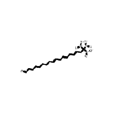 O=[C]CCCCCCCC=CCC=CCC=CCC([N+](=O)[O-])([N+](=O)[O-])[N+](=O)[O-]